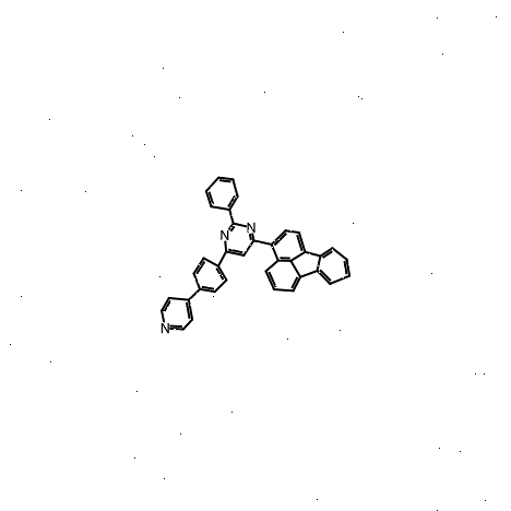 c1ccc(-c2nc(-c3ccc(-c4ccncc4)cc3)cc(-c3ccc4c5c(cccc35)-c3ccccc3-4)n2)cc1